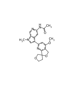 COc1cc(-c2cn(C)c3cnc(NC(C)=O)cc23)nc2c1COC21CCOC1